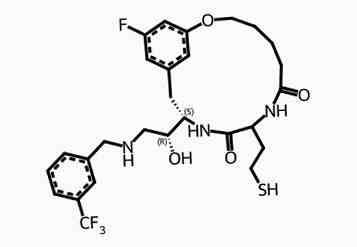 O=C1CCCCOc2cc(F)cc(c2)C[C@@H]([C@H](O)CNCc2cccc(C(F)(F)F)c2)NC(=O)C(CCS)N1